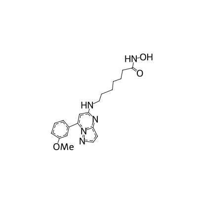 COc1cccc(-c2cc(NCCCCCCC(=O)NO)nc3ccnn23)c1